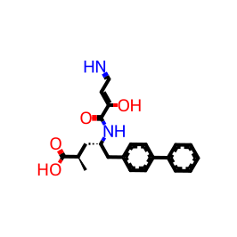 C[C@H](C[C@@H](Cc1ccc(-c2ccccc2)cc1)NC(=O)/C(O)=C/C=N)C(=O)O